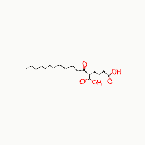 CCCCCCCCCCCC(=O)C(CCCC(=O)O)C(=O)O